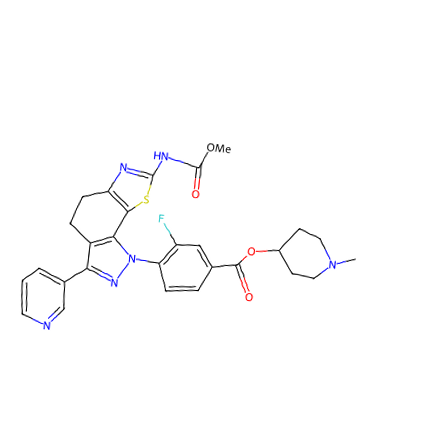 COC(=O)Nc1nc2c(s1)-c1c(c(-c3cccnc3)nn1-c1ccc(C(=O)OC3CCN(C)CC3)cc1F)CC2